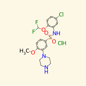 COc1ccc(S(=O)(=O)Nc2cc(Cl)ccc2OC(F)F)cc1N1CCNCC1.Cl